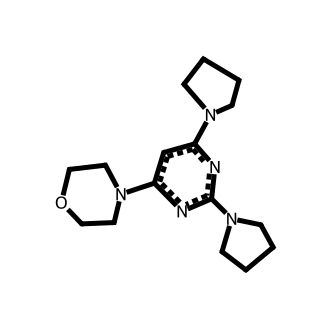 c1c(N2CCCC2)nc(N2CCCC2)nc1N1CCOCC1